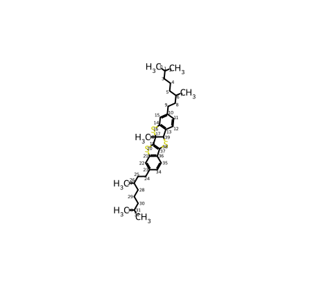 CC(C)CCCC(C)CCc1ccc2c(c1)SC1(C)c3sc4cc(CCC(C)CCCC(C)C)ccc4c3SC21